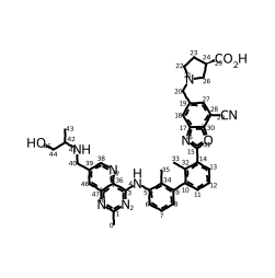 Cc1nc(Nc2cccc(-c3cccc(-c4nc5cc(CN6CC[C@@H](C(=O)O)C6)cc(C#N)c5o4)c3C)c2C)c2ncc(CNC(C)CO)cc2n1